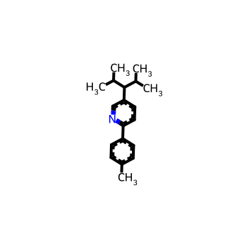 Cc1ccc(-c2ccc(C(C(C)C)C(C)C)cn2)cc1